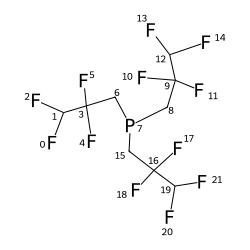 FC(F)C(F)(F)CP(CC(F)(F)C(F)F)CC(F)(F)C(F)F